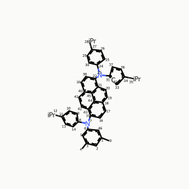 Cc1cc(C)cc(N(c2ccc(C(C)C)cc2)c2ccc3ccc4c(N(c5ccc(C(C)C)cc5)c5ccc(C(C)C)cc5)ccc5ccc2c3c54)c1